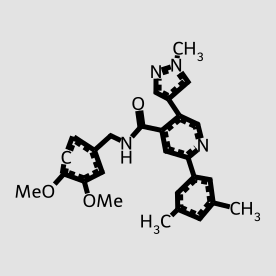 COc1ccc(CNC(=O)c2cc(-c3cc(C)cc(C)c3)ncc2-c2cnn(C)c2)cc1OC